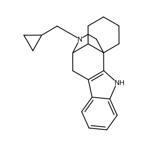 c1ccc2c3c([nH]c2c1)C12CCCCC1C(C3)N(CC1CC1)CC2